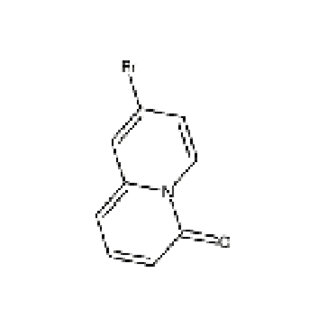 O=c1cccc2cc(Br)ccn12